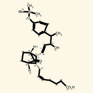 CC(c1ccc(O[Si](C)(C)C(C)(C)C)cc1)C(O)/C=C/[C@@H]1[C@H](C/C=C\CCCC(=O)O)[C@@H]2CC[C@H]1C2=O